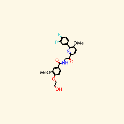 COc1cc(C(=O)NCC(=O)c2ccc(OC)c(-c3ccc(F)c(F)c3)n2)ccc1OCCO